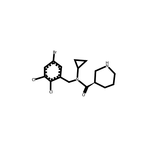 O=C([C@@H]1CCCNC1)N(Cc1cc(Br)cc(Cl)c1Cl)C1CC1